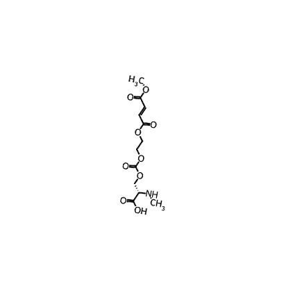 CN[C@@H](COC(=O)OCCOC(=O)/C=C/C(=O)OC)C(=O)O